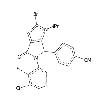 CC(C)n1c(Br)cc2c1C(c1ccc(C#N)cc1)N(c1cccc(Cl)c1F)C2=O